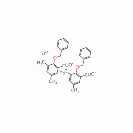 Cc1cc(C)c(OCc2ccccc2)c(C(=O)[O-])c1.Cc1cc(C)c(OCc2ccccc2)c(C(=O)[O-])c1.[Zn+2]